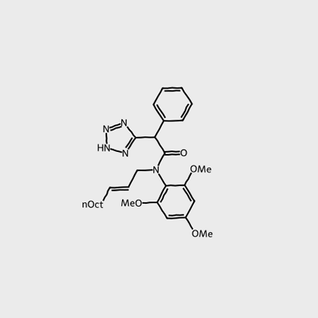 CCCCCCCCC=CCN(C(=O)C(c1ccccc1)c1nn[nH]n1)c1c(OC)cc(OC)cc1OC